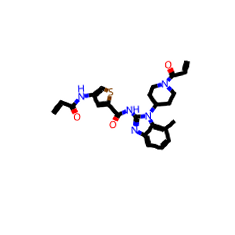 C=CC(=O)Nc1csc(C(=O)Nc2nc3cccc(C)c3n2C2CCN(C(=O)C=C)CC2)c1